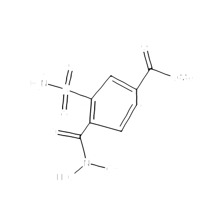 COC(=O)c1ccc(C(=O)N(C)C)c(S(N)(=O)=O)c1